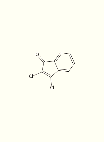 O=C1C(Cl)=C(Cl)c2ccccc21